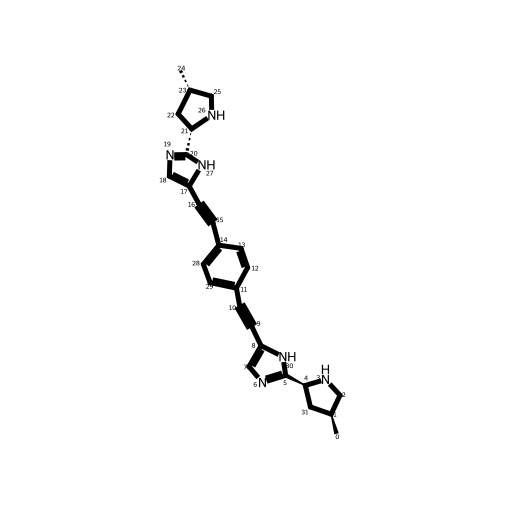 C[C@@H]1CN[C@H](c2ncc(C#Cc3ccc(C#Cc4cnc([C@@H]5C[C@H](C)CN5)[nH]4)cc3)[nH]2)C1